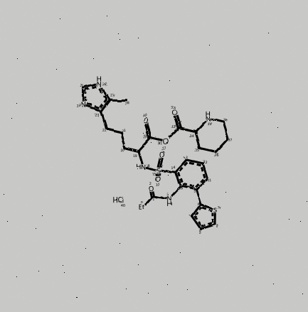 CCC(=O)Nc1c(-c2cccs2)cccc1S(=O)(=O)NC(CCCc1nc[nH]c1C)C(=O)OC(=O)C1CCCCN1.Cl